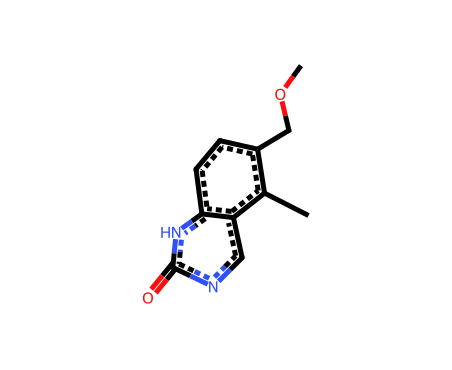 COCc1ccc2[nH]c(=O)ncc2c1C